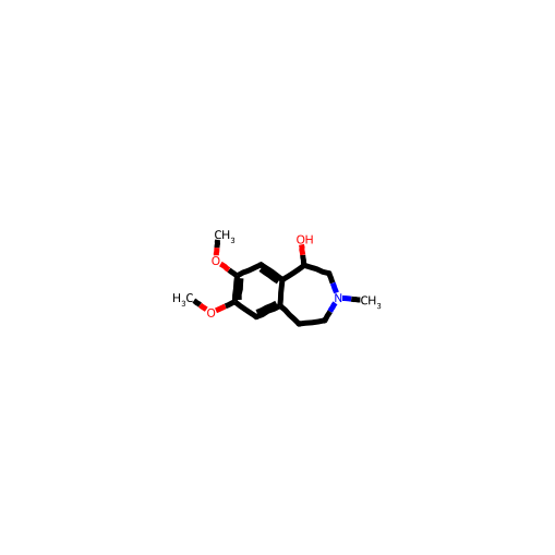 COc1cc2c(cc1OC)C(O)CN(C)CC2